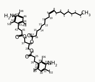 CCCCCCCC/C=C\CCCCCCCC(=O)OC(COC(=O)CCc1c(I)cc(I)c(N)c1I)COC(=O)CCc1c(I)cc(I)c(N)c1I